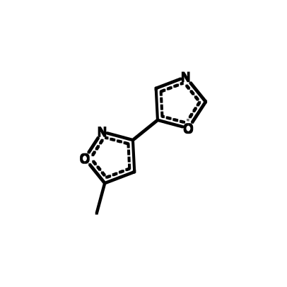 Cc1cc(-c2cnco2)no1